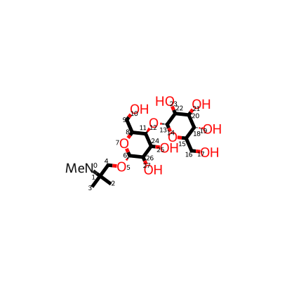 CNC(C)(C)CO[C@@H]1OC(CO)[C@@H](O[C@H]2OC(CO)[C@@H](O)C(O)C2O)C(O)C1O